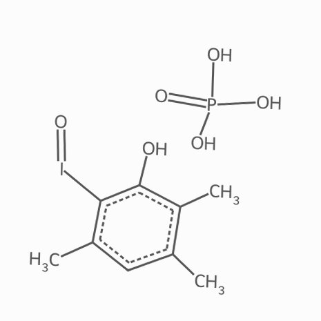 Cc1cc(C)c(I=O)c(O)c1C.O=P(O)(O)O